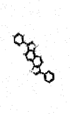 c1ccc(-c2coc3c2ccc2c3ccc3c(-c4ccccc4)coc32)cc1